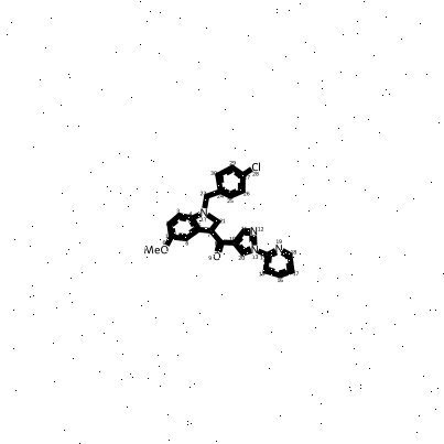 COc1ccc2c(c1)C(C(=O)c1cnn(-c3ccccn3)c1)CN2Cc1ccc(Cl)cc1